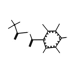 CCC(C)(C)C(=O)NC(=O)c1c(F)c(F)c(F)c(F)c1F